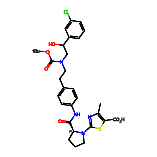 Cc1nc(N2CCC[C@H]2C(=O)Nc2ccc(CCN(CC(O)c3cccc(Cl)c3)C(=O)OC(C)(C)C)cc2)sc1C(=O)O